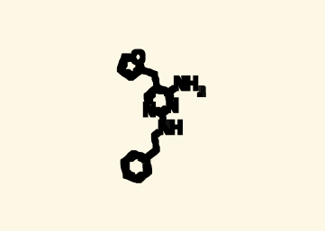 Nc1nc(NCCc2ccccc2)ncc1Cc1ccco1